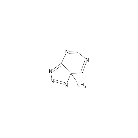 CC12C=NC=NC1=NN=N2